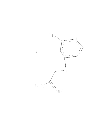 Cl.N=C(N)CSc1cc(S)ncn1